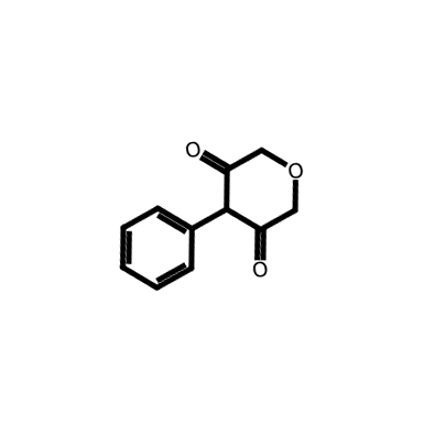 O=C1COCC(=O)C1c1ccccc1